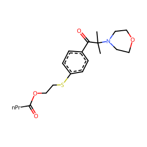 CCCC(=O)OCCSc1ccc(C(=O)C(C)(C)N2CCOCC2)cc1